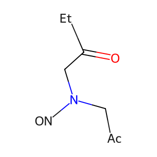 CCC(=O)CN(CC(C)=O)N=O